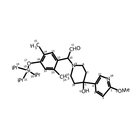 COc1ccc(C2(O)CCN(C(C=O)c3cc(C)c(O[Si](C(C)C)(C(C)C)C(C)C)cc3C)CC2)cn1